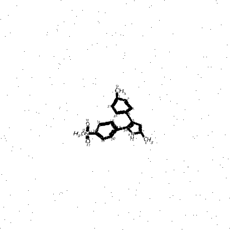 Cc1ccc(-c2cc(C)[nH]c2-c2ccc(S(C)(=O)=O)cc2)cc1